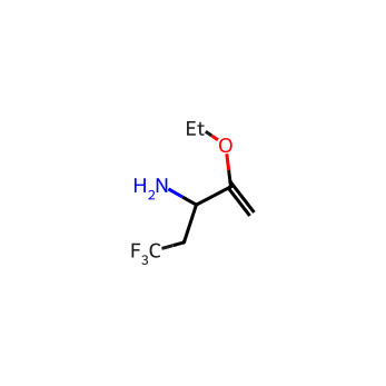 C=C(OCC)C(N)CC(F)(F)F